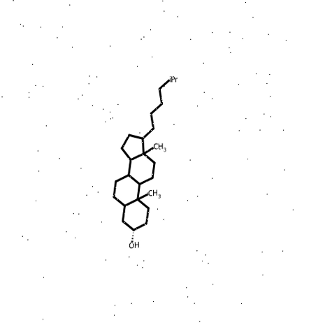 CC(C)CCCCC1CCC2C3CCC4C[C@@H](O)CCC4(C)C3CCC12C